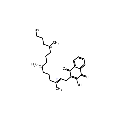 C/C(=C\CC1=C(O)C(=O)c2ccccc2C1=O)CCC[C@H](C)CCC[C@H](C)CCCC(C)C